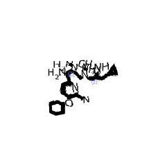 CN(N)/C(CN(N)/C=C(\N)CC1CC1)=C(\N)c1ccc(OC2CCCCC2)c(C#N)n1